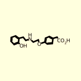 O=C(O)Cc1ccc(OCCNCCc2ccccc2O)cc1